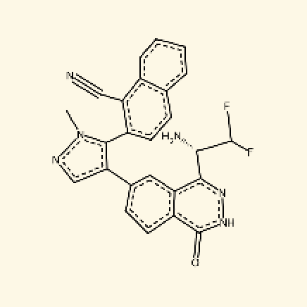 Cn1ncc(-c2ccc3c(=O)[nH]nc([C@H](N)C(F)F)c3c2)c1-c1ccc2ccccc2c1C#N